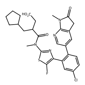 CN(C(=O)C(CC(=O)O)CC1CCCC1)c1nc(-c2cc(Cl)ccc2-c2cnc3c(c2)CC(=O)N3C)c(F)s1